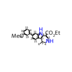 CCOC(=O)C1=CNCC(C)c2c1[nH]c1cc(-c3cccc(OC)c3)ccc21